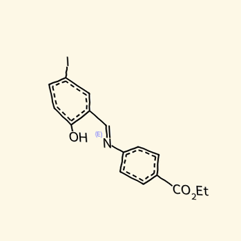 CCOC(=O)c1ccc(/N=C/c2cc(I)ccc2O)cc1